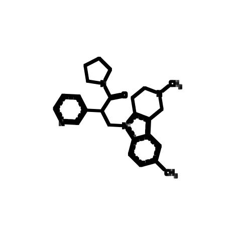 Cc1ccc2c(c1)c1c(n2CC(C(=O)N2CCCC2)c2cccnc2)CCN(C)C1